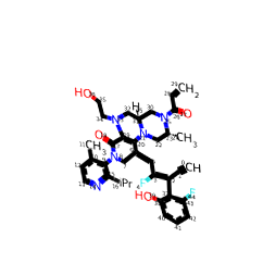 C#C/C(=C(F)\C=C1/CN(c2c(C)ccnc2C(C)C)C(=O)C2=C1N1C[C@@H](C)N(C(=O)C=C)C[C@@H]1CN2CCO)c1c(O)cccc1F